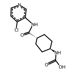 O=C(O)N[C@H]1CC[C@H](C(=O)Nc2cnccc2Cl)CC1